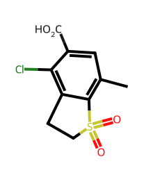 Cc1cc(C(=O)O)c(Cl)c2c1S(=O)(=O)CC2